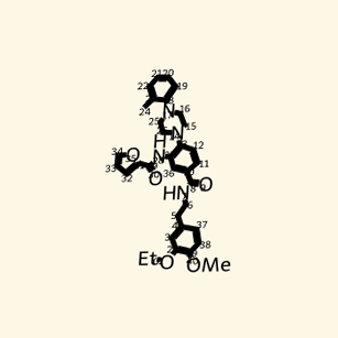 CCOc1cc(CCNC(=O)c2ccc(N3CCN(c4ccccc4C)CC3)c(NC(=O)c3ccco3)c2)ccc1OC